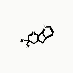 BrC1(Br)C=NC2=C(Cc3cccnc32)C1